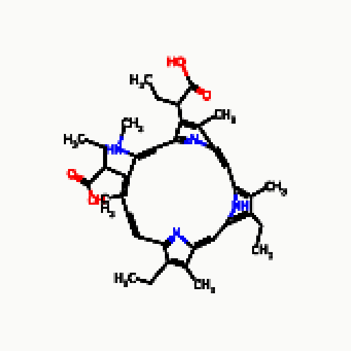 CCC1=C(C)c2cc3[nH]c(cc4nc(cc(NC)c(C(CC)C(=O)O)c(C)ccc1n2)C(C(CC)C(=O)O)=C4C)c(C)c3CC